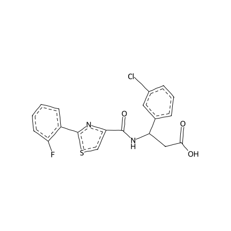 O=C(O)CC(NC(=O)c1csc(-c2ccccc2F)n1)c1cccc(Cl)c1